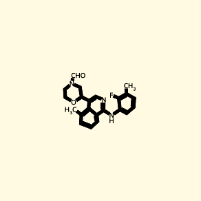 Cc1cccc(Nc2ncc(C3CN(C=O)CCO3)c3c(C)cccc23)c1F